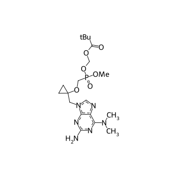 [CH2]OP(=O)(COC1(Cn2cnc3c(N(C)C)nc(N)nc32)CC1)OCOC(=O)C(C)(C)C